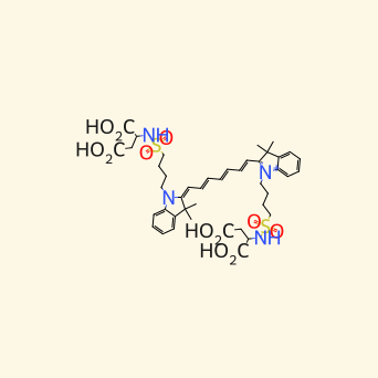 CC1(C)C(/C=C/C=C/C=C/C=C2/N(CCCCS(=O)(=O)NC(CC(=O)O)C(=O)O)c3ccccc3C2(C)C)=[N+](CCCCS(=O)(=O)NC(CC(=O)O)C(=O)O)c2ccccc21